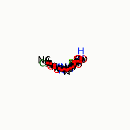 N#Cc1ccc(OC2CCC(NC(=O)c3cnc(N4C[C@@H]5C(CN6CCN(c7cc8c(cc7F)C(=O)N(C7CCC(=O)NC7=O)C8=O)CC6)[C@@H]5C4)cn3)CC2)cc1Cl